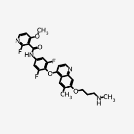 CNCCCOc1cc2nccc(Oc3c(F)cc(NC(=O)c4c(OC)ccnc4F)cc3F)c2cc1C